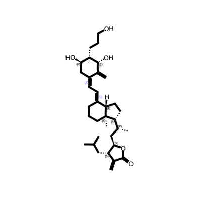 C=C1/C(=C\C=C2/CCC[C@]3(C)[C@@H]([C@H](C)C[C@H]4OC(=O)C(=C)[C@@H]4CC(C)C)CC[C@@H]23)C[C@@H](O)[C@H](CCCO)[C@@H]1O